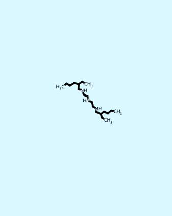 CCCCC(CC)CNCCNCCNCC(CC)CCCC